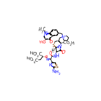 Cn1cc(O)c(=O)c2cc(C[N+]3(CC4=C(C(=O)O)N5C(=O)[C@@H](NC(=O)/C(=N\O[C@@H](CC(=O)O)C(=O)O)c6csc(N)n6)[C@H]5SC4)CCCC3)ccc21